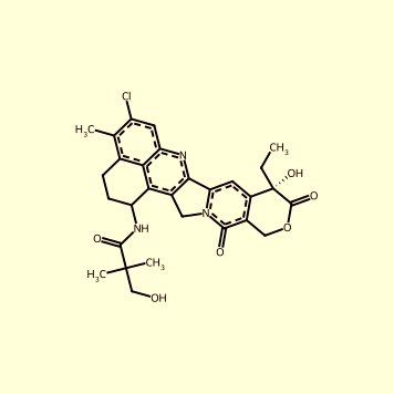 CC[C@@]1(O)C(=O)OCc2c1cc1n(c2=O)Cc2c-1nc1cc(Cl)c(C)c3c1c2C(NC(=O)C(C)(C)CO)CC3